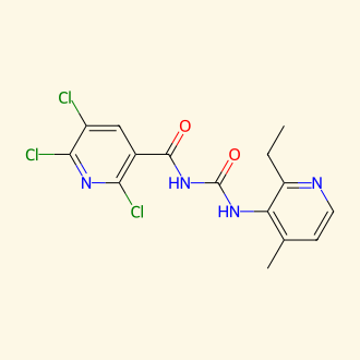 CCc1nccc(C)c1NC(=O)NC(=O)c1cc(Cl)c(Cl)nc1Cl